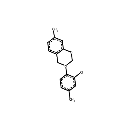 Cc1ccc(N2COc3cc(C)ccc3C2)c(Cl)c1